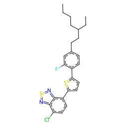 CCCCC(CC)CCc1ccc(-c2ccc(-c3ccc(Cl)c4nsnc34)s2)c(F)c1